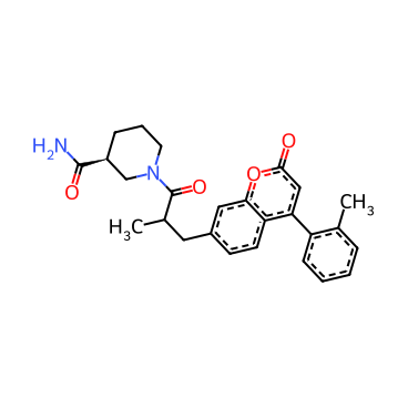 Cc1ccccc1-c1cc(=O)oc2cc(CC(C)C(=O)N3CCC[C@H](C(N)=O)C3)ccc12